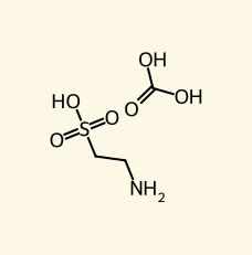 NCCS(=O)(=O)O.O=C(O)O